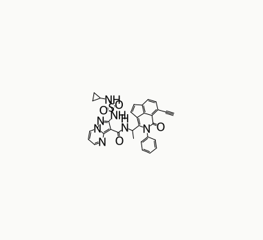 C#Cc1ccc2c3c(c(C(C)NC(=O)c4c(NS(=O)(=O)NC5CC5)nn5cccnc45)n(-c4ccccc4)c(=O)c13)C=C2